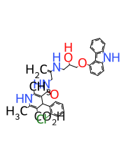 C=C(CNC(=O)C1=C(C)NC(C)=C(C(=O)O)C1c1ccccc1Cl)NCC(O)COc1cccc2[nH]c3ccccc3c12